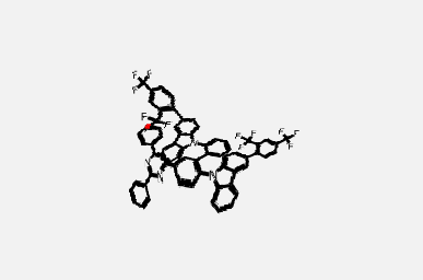 FC(F)(F)c1ccc(-c2ccc3c(c2)c2ccccc2n3-c2ccccc2-c2cc(-c3cc(-c4ccccc4)nc(-c4ccccc4)n3)ccc2-n2c3ccccc3c3cc(-c4ccc(C(F)(F)F)cc4C(F)(F)F)ccc32)c(C(F)(F)F)c1